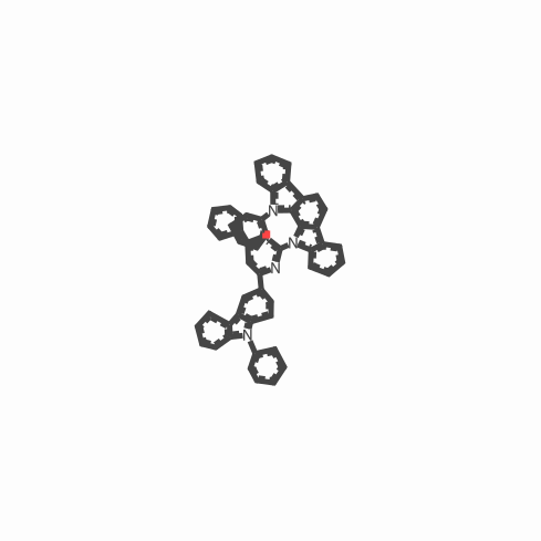 c1ccc(-c2cc(-c3ccc4c(c3)c3ccccc3n4-c3ccccc3)nc(-n3c4ccccc4c4ccc5c6ccccc6n(-c6ccccc6)c5c43)n2)cc1